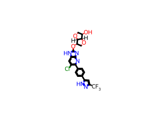 O[C@@H]1CO[C@H]2[C@@H]1OC[C@H]2Oc1nc2nc(-c3ccc(-c4cc(C(F)(F)F)n[nH]4)cc3)c(Cl)cc2[nH]1